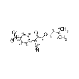 CC(C)CCOCC(=O)C(C#N)c1ccc([N+](=O)[O-])cc1